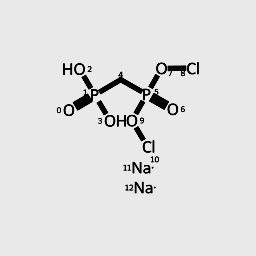 O=P(O)(O)CP(=O)(OCl)OCl.[Na].[Na]